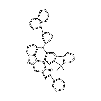 CC1(C)c2ccccc2-c2cc(N(c3cccc(-c4cccc5ccccc45)c3)c3cccc4oc5cc6nc(-c7ccccc7)oc6cc5c34)ccc21